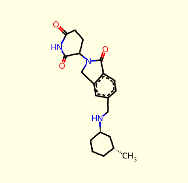 C[C@@H]1CCC[C@@H](NCc2ccc3c(c2)CN(C2CCC(=O)NC2=O)C3=O)C1